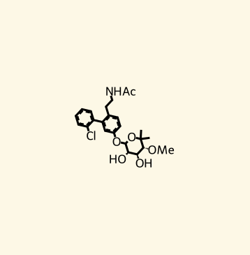 CO[C@@H]1[C@@H](O)[C@@H](O)C(Oc2ccc(CCNC(C)=O)c(-c3ccccc3Cl)c2)OC1(C)C